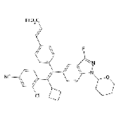 CCOC(=O)/C=C/c1ccc(/C(=C(\c2ccc(C#N)cc2Cl)C2CCC2)c2ccc3c(c2)c(F)nn3C2CCCCO2)cc1